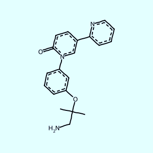 CC(C)(CN)Oc1cccc(-n2cc(-c3ccccn3)ccc2=O)c1